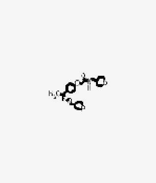 CC(=NOCC1CCOCC1)c1ccc(OCC(=O)NCC2CCOCC2)cc1